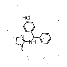 CN1CCN=C1NC(c1ccccc1)c1ccccc1.Cl